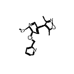 COc1ncc(-c2c(C)noc2C)cc1OCc1ccccn1